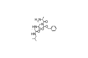 CC(C)CNC(=O)[C@H](C)NC(=O)[C@H](C)N(C(=O)OCc1ccccc1)C(=O)[C@H](C)N